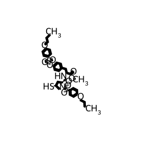 CCCCOc1ccc(S(=O)(=O)Oc2ccc(CC(NC(=O)[C@@H]3C[C@H](S)CN3S(=O)(=O)c3ccc(OCCCC)cc3)C(=O)OC)cc2)cc1